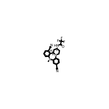 CN1c2cc(C#N)ccc2N2CC[C@@H](NC(=O)C(F)(F)F)C[C@@H]2c2c(C#N)cccc21